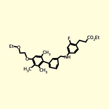 CCOCCOc1cc(C)c(-c2cccc(CNc3ccc(CCC(=O)OCC)c(F)c3)c2)c(C)c1C